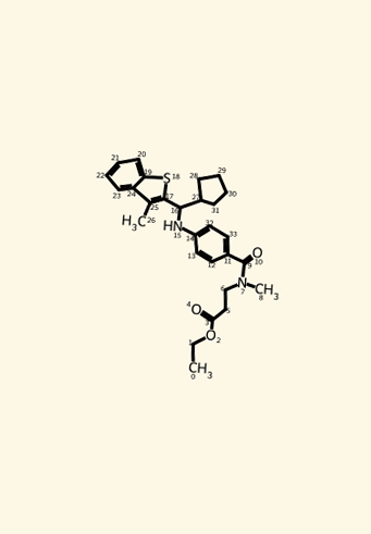 CCOC(=O)CCN(C)C(=O)c1ccc(NC(c2sc3ccccc3c2C)C2CCCC2)cc1